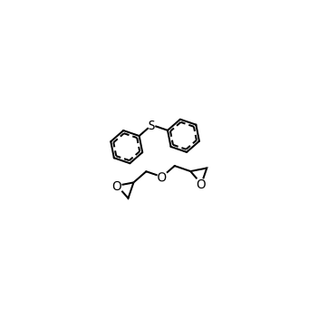 C(OCC1CO1)C1CO1.c1ccc(Sc2ccccc2)cc1